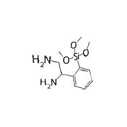 CO[Si](OC)(OC)c1ccccc1C(N)CN